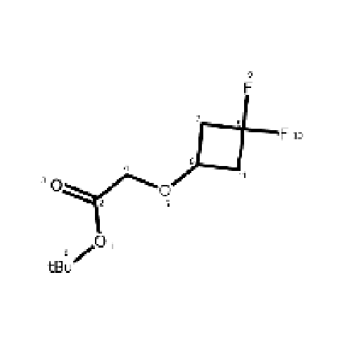 CC(C)(C)OC(=O)COC1CC(F)(F)C1